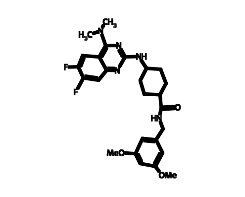 COc1cc(CNC(=O)C2CCC(Nc3nc(N(C)C)c4cc(F)c(F)cc4n3)CC2)cc(OC)c1